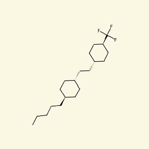 CCCCC[C@H]1CC[C@H](CC[C@H]2CC[C@H](C(F)(F)F)CC2)CC1